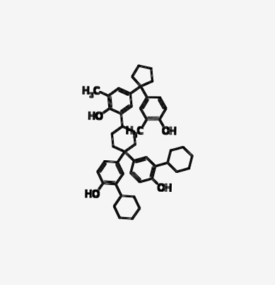 Cc1cc(C2(c3cc(C)c(O)c(C4CCC(c5ccc(O)c(C6CCCCC6)c5)(c5ccc(O)c(C6CCCCC6)c5)CC4)c3)CCCC2)ccc1O